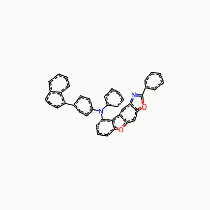 c1ccc(-c2nc3cc4c(cc3o2)oc2cccc(N(c3ccccc3)c3ccc(-c5cccc6ccccc56)cc3)c24)cc1